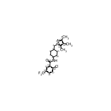 Cc1nn(CC2CCC(NC(=O)c3cc(C(F)(F)F)ccc3Cl)CC2)c(C)c1C